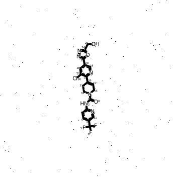 O=C(Nc1ccc(C(F)(F)F)cn1)N1CC=C(c2ncc(-c3nnc(CO)o3)cc2Cl)CC1